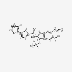 CC(C)(O)Cn1c(NC(=O)c2ccc(-c3cn[nH]c3)s2)nc2cc3c(cc21)OCC(=O)N3